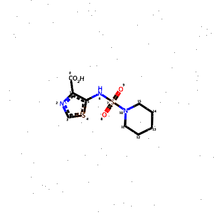 O=C(O)c1ncsc1NS(=O)(=O)N1CCCCC1